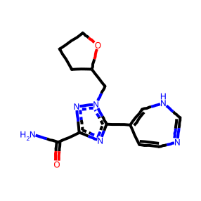 NC(=O)c1nc(C2=CNC=NC=C2)n(CC2CCCO2)n1